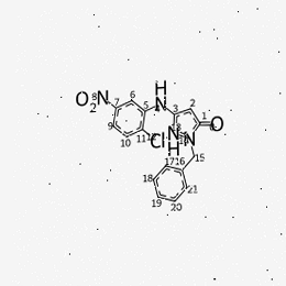 O=c1cc(Nc2cc([N+](=O)[O-])ccc2Cl)[nH]n1Cc1ccccc1